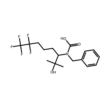 CC(C)(O)C(CCCC(F)(F)C(F)(F)F)N(Cc1ccccc1)C(=O)O